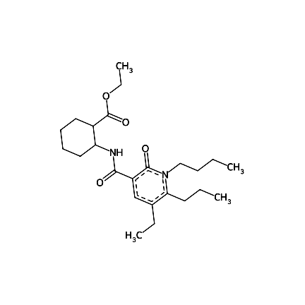 CCCCn1c(CCC)c(CC)cc(C(=O)NC2CCCCC2C(=O)OCC)c1=O